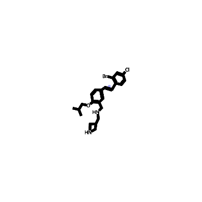 CC(C)COc1ccc(/C=C/c2ccc(Cl)cc2Br)cc1CNCC1CNC1